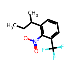 CCC(C)c1cccc(C(F)(F)F)c1[N+](=O)[O-]